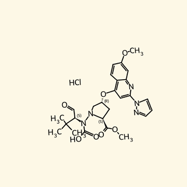 COC(=O)[C@@H]1C[C@@H](Oc2cc(-n3cccn3)nc3cc(OC)ccc23)CN1N(C(=O)O)[C@H](C=O)C(C)(C)C.Cl